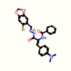 CN(C)c1ccc(/C=C(\NC(=O)c2ccccc2)C(=O)N/N=C/c2cc3c(cc2Br)OCO3)cc1